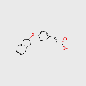 COC(=O)C=Cc1ccc(OC2Cc3ccccc3C2)cc1